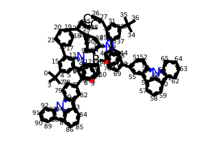 CC(C)(C)c1cc(-c2ccccc2)c2c(c1)-c1ccc(cc1)C1(C)c3ccc(cc3)-c3cc(C(C)(C)C)cc(-c4ccccc4)c3N3c4cc(-c5ccc6c(c5)c5cccc7c8ccccc8n6c75)ccc4B4c5ccc(-c6ccc7c(c6)c6cccc8c9ccccc9n7c86)cc5N2c2cc1cc3c24